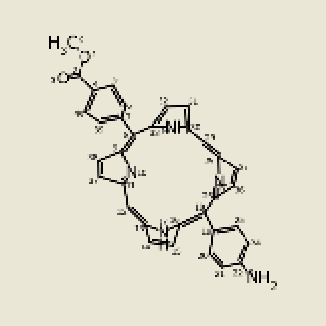 COC(=O)c1ccc(-c2c3nc(cc4ccc([nH]4)c(-c4ccc(N)cc4)c4nc(cc5ccc2[nH]5)C=C4)C=C3)cc1